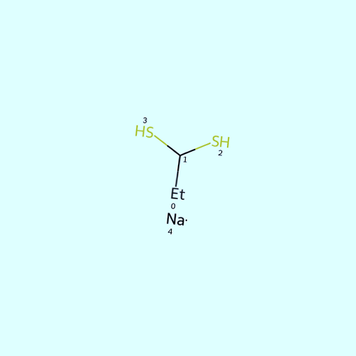 CCC(S)S.[Na]